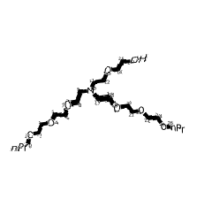 CCCOCCOCCOCCN(CCOCCO)CCOCCOCCOCCC